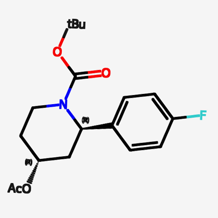 CC(=O)O[C@@H]1CCN(C(=O)OC(C)(C)C)[C@@H](c2ccc(F)cc2)C1